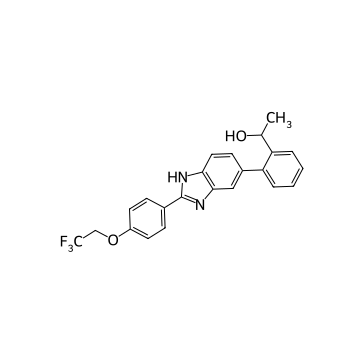 CC(O)c1ccccc1-c1ccc2[nH]c(-c3ccc(OCC(F)(F)F)cc3)nc2c1